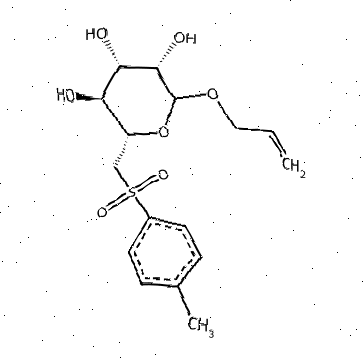 C=CCOC1O[C@H](CS(=O)(=O)c2ccc(C)cc2)[C@@H](O)[C@H](O)[C@@H]1O